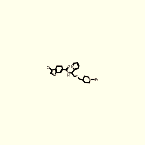 CC(C)N1CCC(COCC(NC(=O)c2ccc3c(Cl)c[nH]c3c2)c2ccccn2)CC1